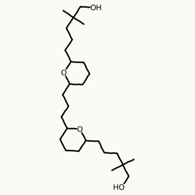 CC(C)(CO)CCCC1CCCC(CCCC2CCCC(CCCC(C)(C)CO)O2)O1